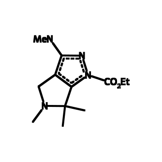 CCOC(=O)n1nc(NC)c2c1C(C)(C)N(C)C2